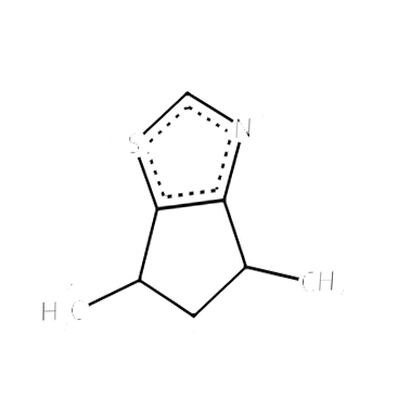 CC1CC(C)c2scnc21